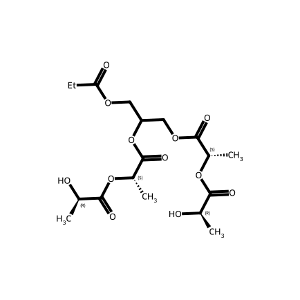 CCC(=O)OCC(COC(=O)[C@H](C)OC(=O)[C@@H](C)O)OC(=O)[C@H](C)OC(=O)[C@@H](C)O